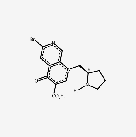 CCOC(=O)c1cn(C[C@H]2CCCN2CC)c2cnc(Br)cc2c1=O